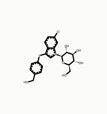 OCc1ccc(Sc2cn([C@@H]3O[C@H](CO)[C@@H](O)[C@H](O)[C@H]3O)c3cc(Cl)ccc23)cc1